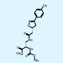 CCCCOC(=O)N[C@@H](CNC(=O)C[C@H]1CC(c2ccc(C#N)cc2)=NO1)C(=O)OC